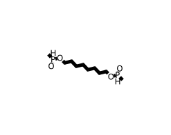 C[PH](=O)OCCCCCCCCO[PH](C)=O